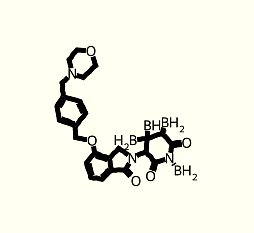 BC1C(=O)N(B)C(=O)C(N2Cc3c(OCc4ccc(CN5CCOCC5)cc4)cccc3C2=O)C1(B)B